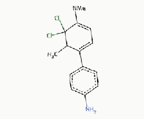 CNC1=CC=C(c2ccc(N)cc2)C(C)C1(Cl)Cl